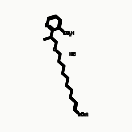 CCCCCCCCC=CCCCCCCCCOCC(C)c1ncccc1C(=O)O.Cl